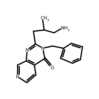 CC(CN)Cc1nc2cnccc2c(=O)n1Cc1ccccc1